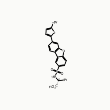 CCCc1ccc(-c2ccc3c(c2)oc2ccc(S(=O)(=O)N[C@@H](C(=O)O)C(C)C)cc23)s1